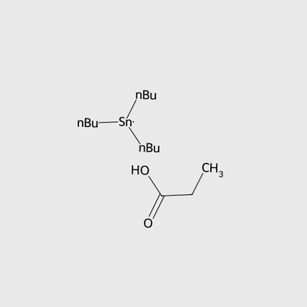 CCC(=O)O.CCC[CH2][Sn]([CH2]CCC)[CH2]CCC